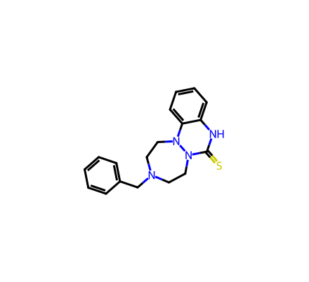 S=C1Nc2ccccc2N2CCN(Cc3ccccc3)CCN12